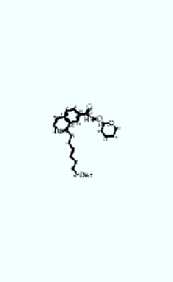 CCCCCCCCCCCCCCCCC1NCCc2ccc(C(=O)NOC3CCCCO3)cc21